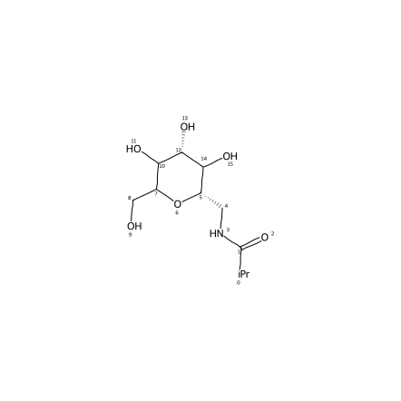 CC(C)C(=O)NC[C@@H]1OC(CO)C(O)[C@H](O)C1O